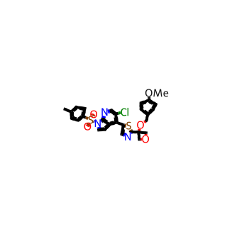 COc1ccc(COC2(c3ncc(-c4c(Cl)cnc5c4ccn5S(=O)(=O)c4ccc(C)cc4)s3)COC2)cc1